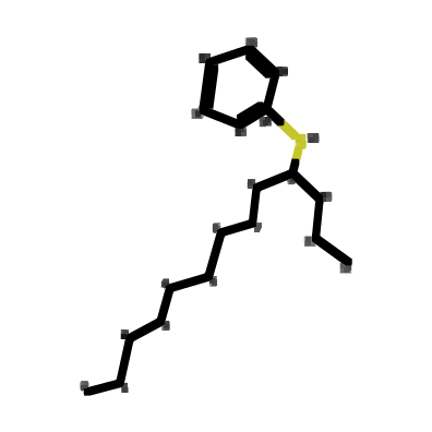 CCCCCCCCCC(CCC)Sc1ccccc1